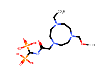 O=COCN1CCN(CC(=O)O)CCN(CC(=O)NC(P(=O)(O)O)P(=O)(O)O)CC1